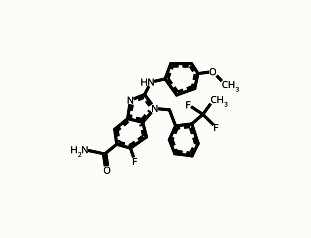 COc1ccc(Nc2nc3cc(C(N)=O)c(F)cc3n2Cc2ccccc2C(C)(F)F)cc1